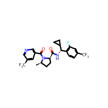 C[C@@H]1CC[C@H](C(=O)N[C@@H](c2ccc(C(F)(F)F)cc2F)C2CC2)N1C(=O)c1cncc(C(F)(F)F)c1